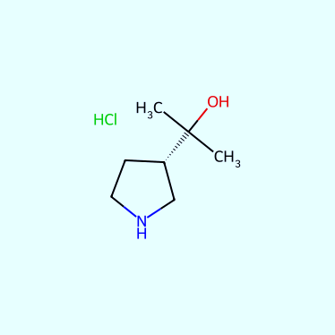 CC(C)(O)[C@H]1CCNC1.Cl